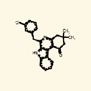 CC1(C)CC(=O)c2c(nc(Cc3cccc(Cl)c3)c3[nH]c4ccccc4c23)C1